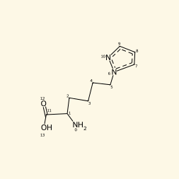 NC(CCCCn1cccn1)C(=O)O